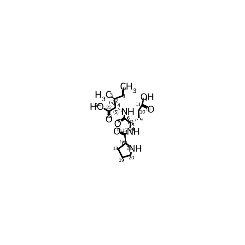 CC[C@H](C)[C@H](NC(=O)[C@H](CCC(=O)O)NC(=O)[C@@H]1CCCN1)C(=O)O